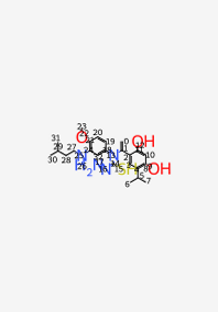 C=C(c1cc(C(C)C)c(O)cc1O)N(/C(S)=N\N)c1ccc(OC)c(N(C)CCC(C)C)c1